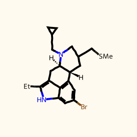 CCc1[nH]c2cc(Br)cc3c2c1C[C@@H]1[C@@H]3CC(CSC)CN1CC1CC1